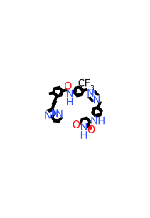 Cc1ccc(C(=O)Nc2ccc(CN3CCN(Cc4ccc(NC5CCC(=O)NC5=O)cc4)CC3)c(C(F)(F)F)c2)cc1C#Cc1cnc2cccnn12